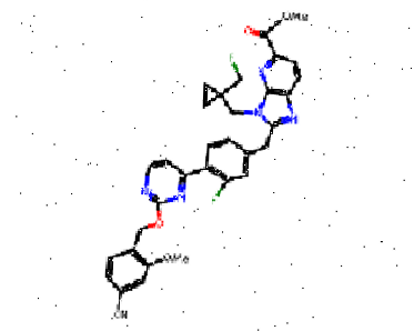 COC(=O)c1ccc2nc(Cc3ccc(-c4ccnc(OCc5ccc(C#N)cc5OC)n4)c(F)c3)n(CC3(CF)CC3)c2n1